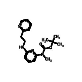 CN(C(=O)OC(C)(C)C)c1cccc(NCCc2ccccn2)n1